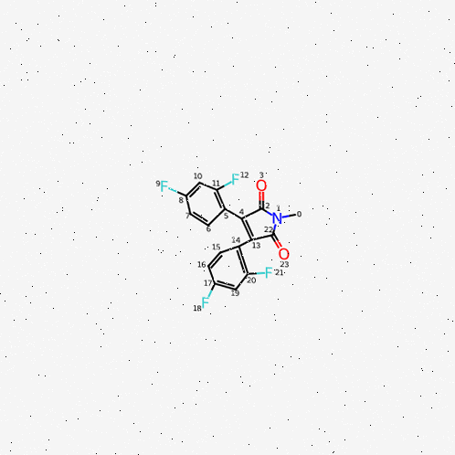 CN1C(=O)C(c2ccc(F)cc2F)=C(c2ccc(F)cc2F)C1=O